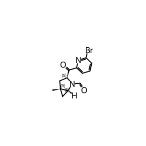 C[C@@]12C[C@@H](C(=O)c3cccc(Br)n3)N(C=O)[C@@H]1C2